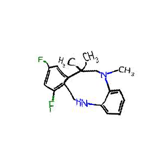 CN1CC(C)(C)c2cc(F)cc(F)c2CNc2ccccc21